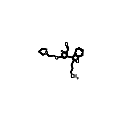 CCCCc1oc2ccccc2c1-c1cc(OCCN2CCCC2)sc1C=O